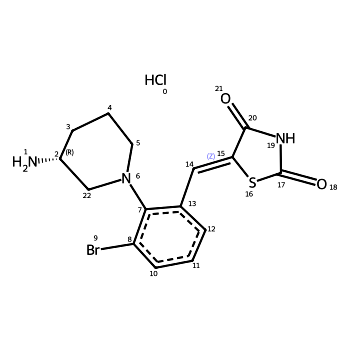 Cl.N[C@@H]1CCCN(c2c(Br)cccc2/C=C2\SC(=O)NC2=O)C1